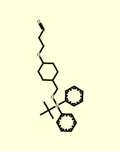 CC(C)(C)[Si](OCC1CCC(OCCC=O)CC1)(c1ccccc1)c1ccccc1